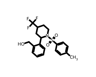 Cc1ccc(S(=O)(=O)N2CCC(C(F)(F)F)CC2c2ccccc2CO)cc1